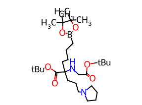 CC(C)(C)OC(=O)CNC(CCCCB1OC(C)(C)C(C)(C)O1)(CCCN1CCCC1)C(=O)OC(C)(C)C